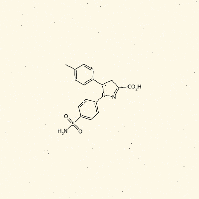 Cc1ccc(C2CC(C(=O)O)=NN2c2ccc(S(N)(=O)=O)cc2)cc1